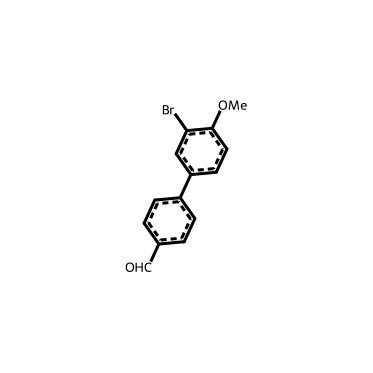 COc1ccc(-c2ccc(C=O)cc2)cc1Br